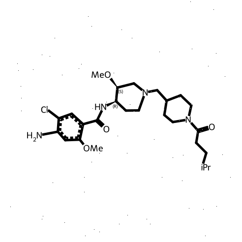 COc1cc(N)c(Cl)cc1C(=O)N[C@@H]1CCN(CC2CCN(C(=O)CCC(C)C)CC2)C[C@@H]1OC